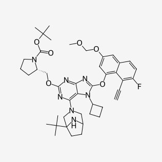 C#Cc1c(F)ccc2cc(OCOC)cc(Oc3nc4nc(OC[C@@H]5CCCN5C(=O)OC(C)(C)C)nc(N5CC6CCC(C(C)(C)C)(C5)N6)c4n3C3CCC3)c12